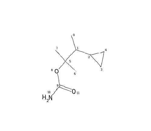 CC(C1CC1)C(C)(C)OC(N)=O